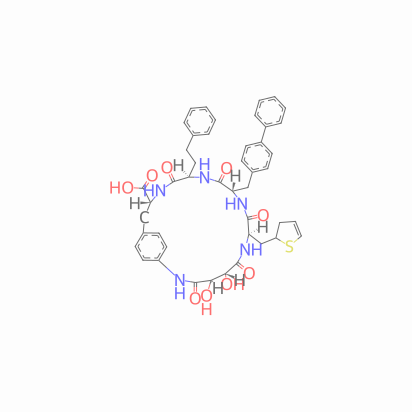 O=C1N[C@H](CCc2ccccc2)C(=O)N[C@@H](C(=O)O)Cc2ccc(cc2)NC(=O)[C@H](O)[C@@H](O)C(=O)N[C@H](CC2CC=CS2)C(=O)N[C@H]1Cc1ccc(-c2ccccc2)cc1